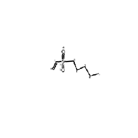 C=[C]S(=O)(=O)CCCCC